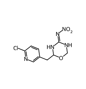 O=[N+]([O-])N=C1NCOC(Cc2ccc(Cl)nc2)N1